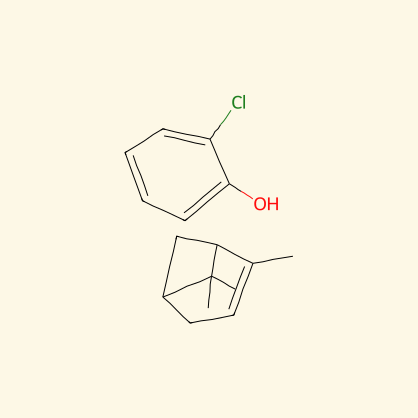 CC1=CCC2CC1C2(C)C.Oc1ccccc1Cl